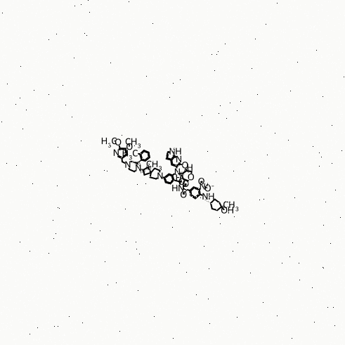 COc1cc(CN2CCN([C@H]3CC4(CCN(c5ccc(C(=O)NS(=O)(=O)c6ccc(NC[C@H]7CC[C@](C)(O)CC7)c([N+](=O)[O-])c6)c(N6c7cc8cc[nH]c8nc7O[C@H]7COCC[C@@H]76)c5)CC4)[C@@H]3C)[C@H](c3ccccc3C)C2)cnc1OC